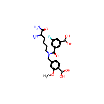 COc1cc(CN(CCCCC(N)C(N)=O)C(=O)c2cc(F)cc(B(O)O)c2)ccc1B(O)O